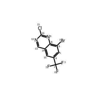 FC(F)(F)c1cc(Br)c2nc(Cl)ncc2c1